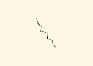 C=CCCCOC=CC